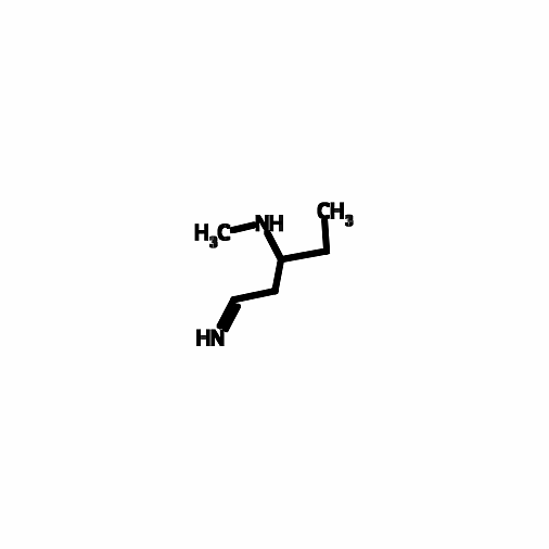 CCC(CC=N)NC